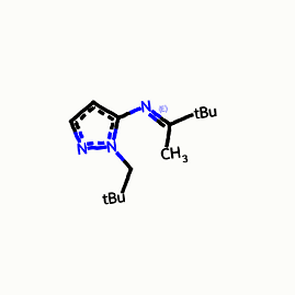 C/C(=N\c1ccnn1CC(C)(C)C)C(C)(C)C